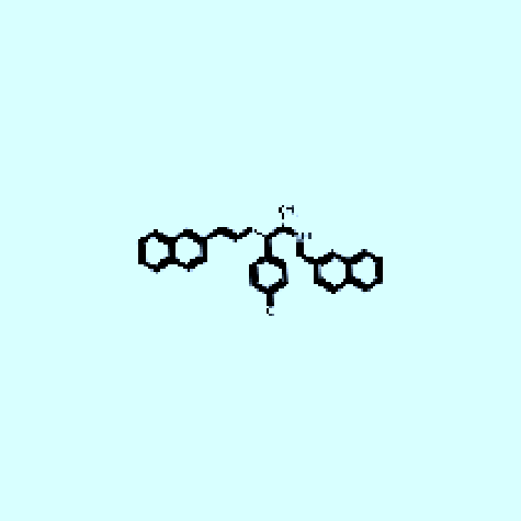 C[C@H](NCc1ccc2ccccc2c1)[C@@H](CC=Cc1ccc2ccccc2c1)c1ccc(Cl)cc1